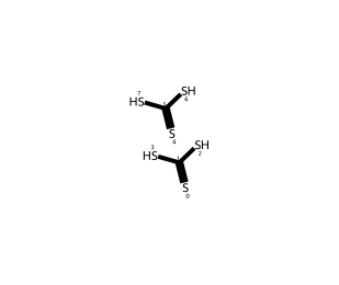 S=C(S)S.S=C(S)S